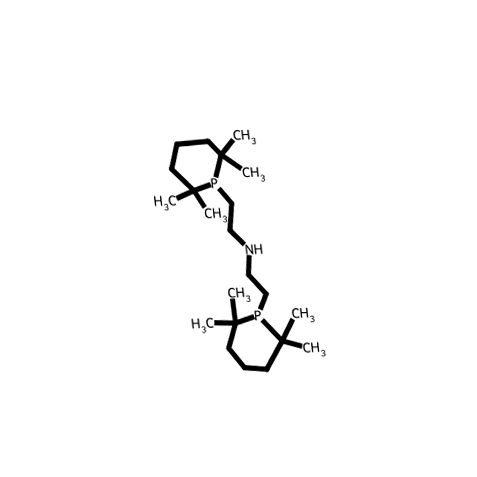 CC1(C)CCCC(C)(C)P1CCNCCP1C(C)(C)CCCC1(C)C